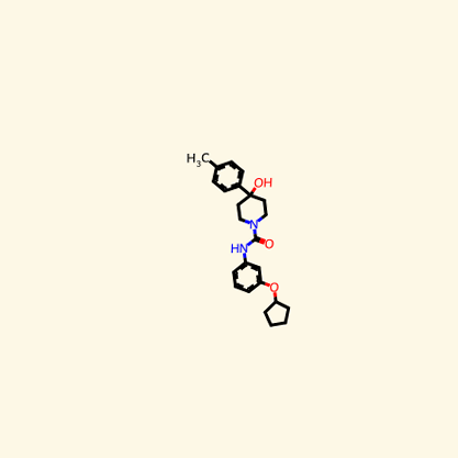 Cc1ccc(C2(O)CCN(C(=O)Nc3cccc(OC4CCCC4)c3)CC2)cc1